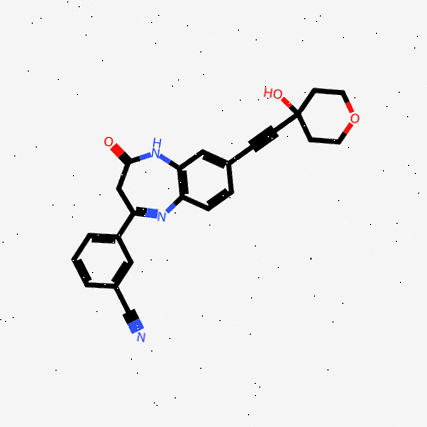 N#Cc1cccc(C2=Nc3ccc(C#CC4(O)CCOCC4)cc3NC(=O)C2)c1